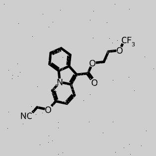 N#CCOc1ccc2c(C(=O)OCCOC(F)(F)F)c3ccccc3n2c1